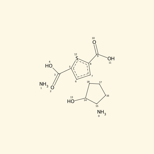 N.N.O=C(O)c1ccc(C(=O)O)s1.OC1CCCC1